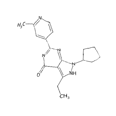 CCc1[nH]n(C2CCCC2)c2nc(-c3ccnc(C)c3)nc(=O)c1-2